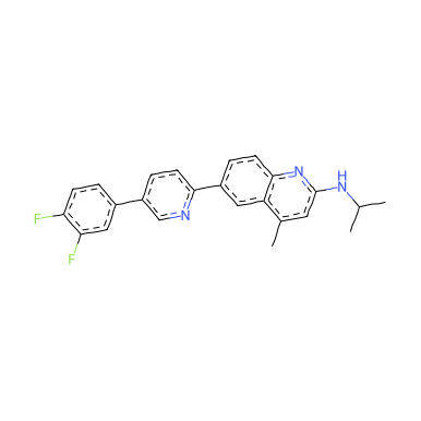 Cc1cc(NC(C)C)nc2ccc(-c3ccc(-c4ccc(F)c(F)c4)cn3)cc12